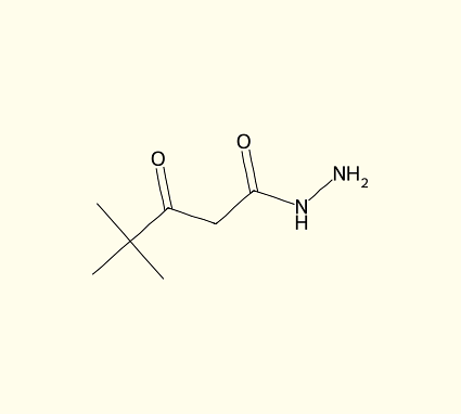 CC(C)(C)C(=O)CC(=O)NN